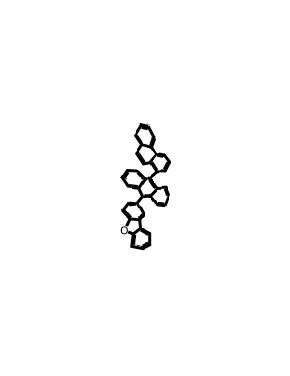 c1ccc2c(c1)ccc1c(-c3c4ccccc4c(-c4ccc5oc6ccccc6c5c4)c4ccccc34)cccc12